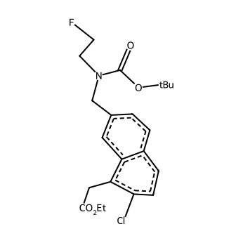 CCOC(=O)Cc1c(Cl)ccc2ccc(CN(CCF)C(=O)OC(C)(C)C)cc12